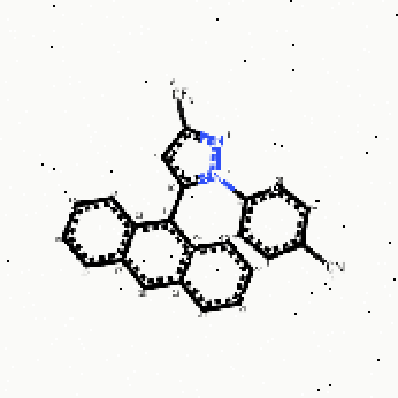 N#Cc1ccc(-n2nc(C(F)(F)F)cc2-c2c3ccccc3cc3ccccc23)cc1